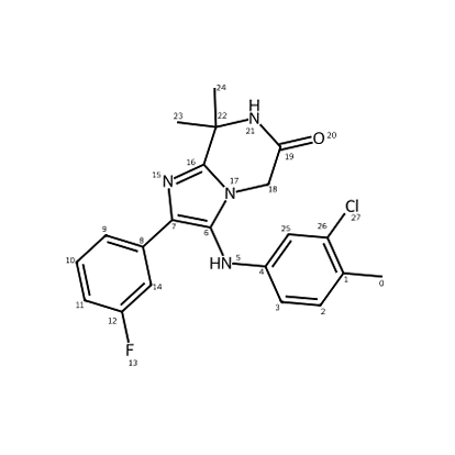 Cc1ccc(Nc2c(-c3cccc(F)c3)nc3n2CC(=O)NC3(C)C)cc1Cl